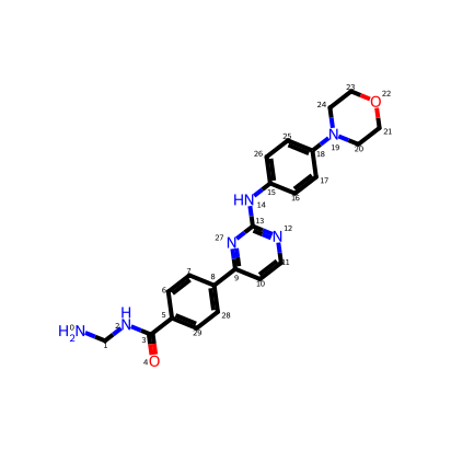 NCNC(=O)c1ccc(-c2ccnc(Nc3ccc(N4CCOCC4)cc3)n2)cc1